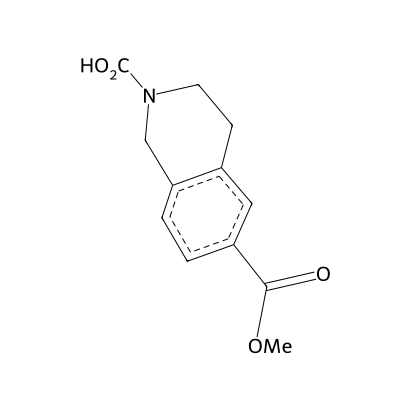 COC(=O)c1ccc2c(c1)CCN(C(=O)O)C2